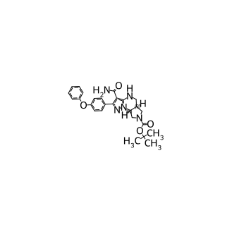 CC(C)(C)OC(=O)N1C[C@@H]2CNc3c(C(N)=O)c(-c4ccc(Oc5ccccc5)cc4)nn3[C@H]2C1